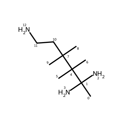 CC(N)(N)C(C)(C)C(C)(C)CCN